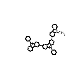 Cn1c2ccccc2c2ccc(-c3ccc4c(c3)c3cc(-c5ccc6c(c5)c5ccccc5n6-c5ccccc5)ccc3n4-c3ccccc3)cc21